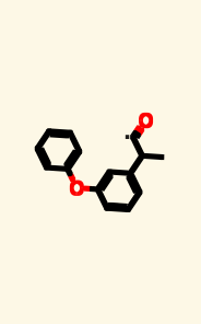 CC([C]=O)c1cccc(Oc2ccccc2)c1